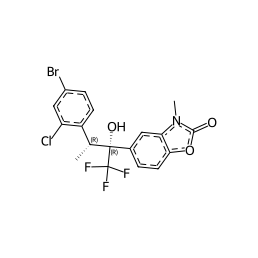 C[C@H](c1ccc(Br)cc1Cl)[C@@](O)(c1ccc2oc(=O)n(C)c2c1)C(F)(F)F